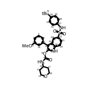 COc1cccc(-c2c(OC(=O)NC3CCOCC3)[nH]c3ccc(S(=O)(=O)Nc4ccc(C(C)(C)C)cc4)cc23)c1